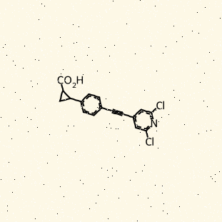 O=C(O)C1CC1c1ccc(C#Cc2cc(Cl)nc(Cl)c2)cc1